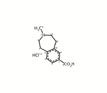 CN1CCc2ccc(C(=O)O)cc2CC1.Cl